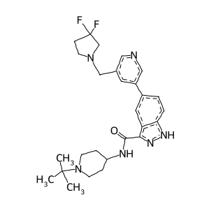 CC(C)(C)N1CCC(NC(=O)c2n[nH]c3ccc(-c4cncc(CN5CCC(F)(F)C5)c4)cc23)CC1